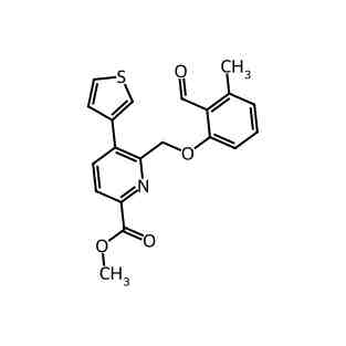 COC(=O)c1ccc(-c2ccsc2)c(COc2cccc(C)c2C=O)n1